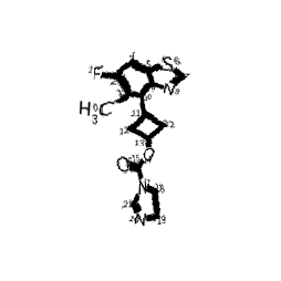 Cc1c(F)cc2scnc2c1C1CC(OC(=O)n2ccnc2)C1